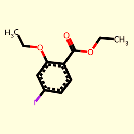 CCOC(=O)c1ccc(I)cc1OCC